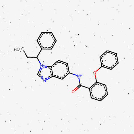 O=C(O)CC(c1ccccc1)n1cnc2cc(NC(=O)c3ccccc3Oc3ccccc3)ccc21